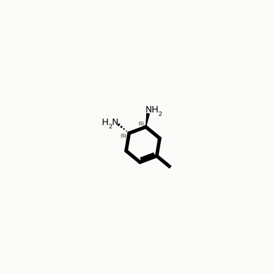 CC1=CC[C@H](N)[C@@H](N)C1